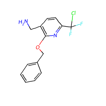 NCc1ccc(C(F)(F)Cl)nc1OCc1ccccc1